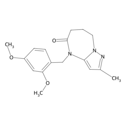 COc1ccc(CN2C(=O)CCCn3nc(C)cc32)c(OC)c1